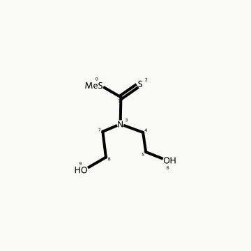 CSC(=S)N(CCO)CCO